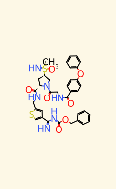 C[S@](=N)(=O)[C@@H]1C[C@@H](C(=O)NCc2cc(C(=N)NC(=O)OCc3ccccc3)cs2)N(C(=O)CNC(=O)c2ccc(Oc3ccccc3)cc2)C1